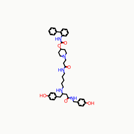 O=C(CCN1CCC(OC(=O)Nc2ccccc2-c2ccccc2)CC1)NCCCCCNC(CC(=O)NCc1ccc(O)cc1)Cc1ccc(O)cc1